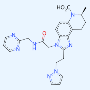 C[C@H]1CCc2c(ccc3c2nc(CCn2cccn2)n3CC(=O)NCc2ncccn2)N1C(=O)O